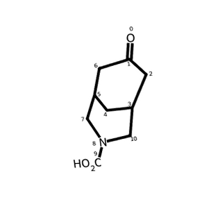 O=C1CC2CC(C1)CN(C(=O)O)C2